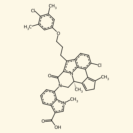 CC1=C2C(=CC1)[C@@]1(C)CN(c3cccc4c(C(=O)O)cn(C)c34)C(=O)c3c(CCCOc4cc(C)c(Cl)c(C)c4)c4ccc(Cl)c2c4n31